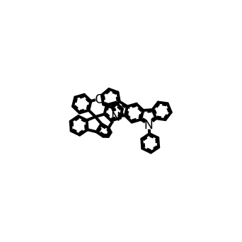 c1ccc(-n2c3ccccc3c3cc4c5ccccc5n(-c5cccc6c5C5(c7ccccc7Oc7ccccc75)c5ccccc5-6)c4cc32)cc1